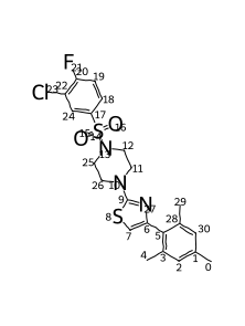 Cc1cc(C)c(-c2csc(N3CCN(S(=O)(=O)c4ccc(F)c(Cl)c4)CC3)n2)c(C)c1